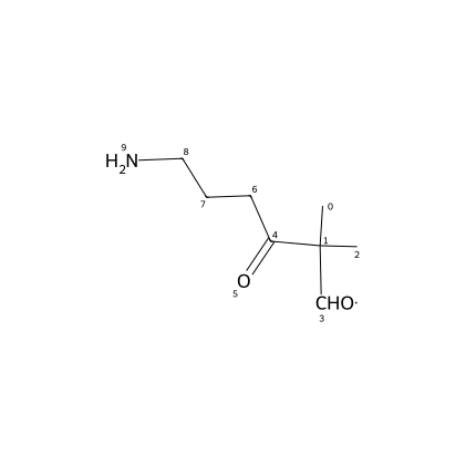 CC(C)([C]=O)C(=O)CCCN